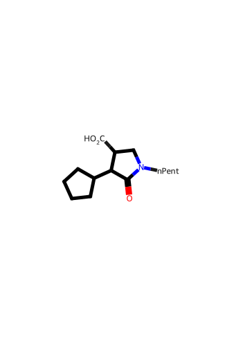 CCCCCN1CC(C(=O)O)C(C2CCCC2)C1=O